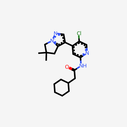 CC1(C)Cc2c(-c3cc(NC(=O)CC4CCCCC4)ncc3Cl)cnn2C1